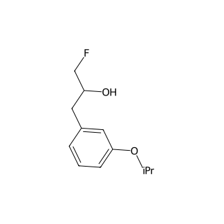 CC(C)Oc1cccc(CC(O)CF)c1